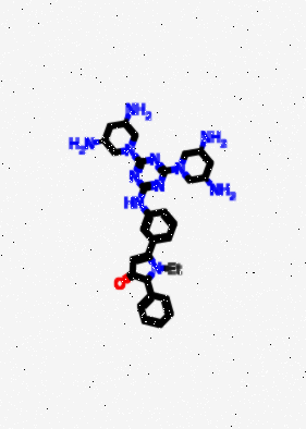 CCN1C(c2cccc(Nc3nc(N4C[C@H](N)C[C@H](N)C4)nc(N4C[C@H](N)C[C@H](N)C4)n3)c2)=CC(=O)C1c1ccccc1